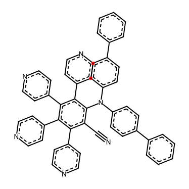 N#Cc1c(-c2ccncc2)c(-c2ccncc2)c(-c2ccncc2)c(-c2ccncc2)c1N(c1ccc(-c2ccccc2)cc1)c1ccc(-c2ccccc2)cc1